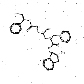 CC(C)CC(OC(=O)NC[C@@H](O)C[C@@H](Cc1ccccc1)C(=O)N[C@H]1c2ccccc2C[C@H]1O)c1ccccc1